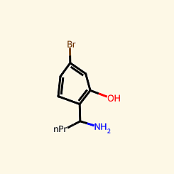 CCCC(N)c1ccc(Br)cc1O